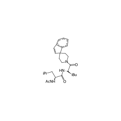 CC[C@H](C)[C@H](NC(=O)[C@H](CC(C)C)NC(C)=O)C(=O)N1CCC2(C=Cc3ccccc32)CC1